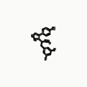 NC(Cc1cc(F)cc(F)c1)c1nocc1-c1ccc(Cl)cc1